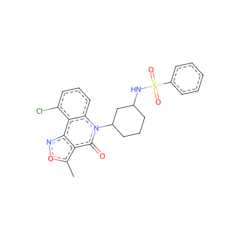 Cc1onc2c1c(=O)n(C1CCCC(NS(=O)(=O)c3ccccc3)C1)c1cccc(Cl)c21